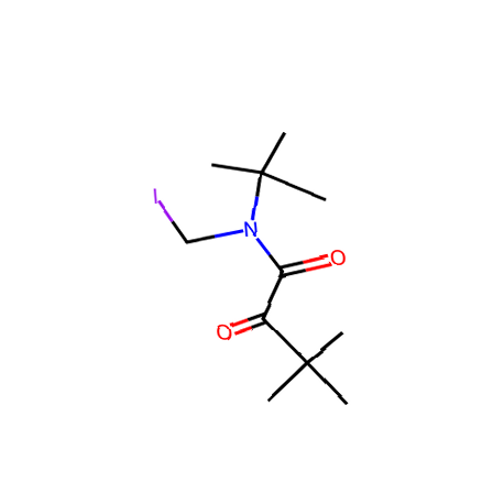 CC(C)(C)C(=O)C(=O)N(CI)C(C)(C)C